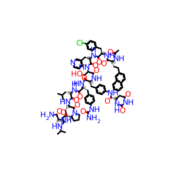 CC(=O)N[C@H](CCc1ccc2ccccc2c1)C(=O)N[C@H](Cc1ccc(Cl)cc1)C(=O)N[C@H](Cc1cccnc1)C(=O)NC(CO)C(=O)N[C@@H](Cc1ccc(NC(=O)[C@@H]2CC(=O)NC(=O)N2)cc1)C(=O)N[C@H](Cc1ccc(NC(N)=O)cc1)C(=O)N[C@@H](CC(C)C)C(=O)N[C@@H](CCCCNC(C)C)C(=O)N1CCC[C@H]1C(=O)N[C@H](C)C(N)=O